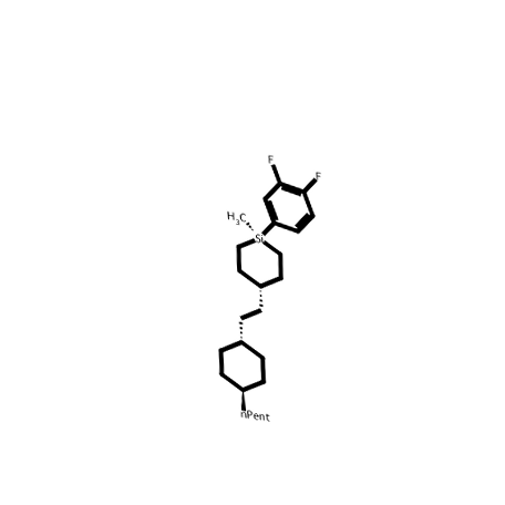 CCCCC[C@H]1CC[C@H](CC[C@H]2CC[Si@](C)(c3ccc(F)c(F)c3)CC2)CC1